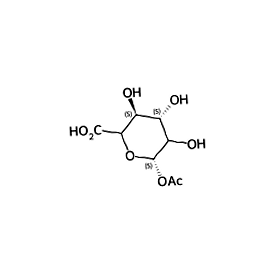 CC(=O)O[C@@H]1OC(C(=O)O)[C@@H](O)[C@H](O)C1O